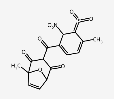 CC1=CC=C(C(=O)C2C(=O)C3C=CC(C)(O3)C2=O)C([N+](=O)[O-])C1=S(=O)=O